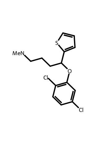 CNCCCC(Oc1cc(Cl)ccc1Cl)c1cccs1